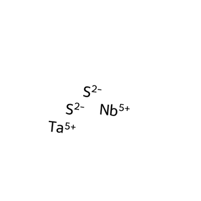 [Nb+5].[S-2].[S-2].[Ta+5]